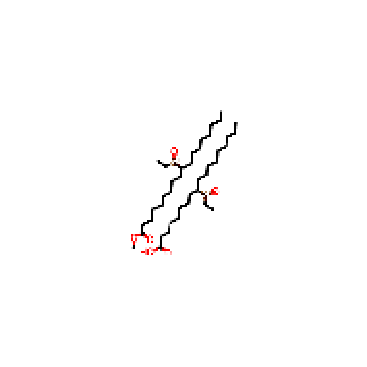 CCCCCCCCC(CCCCCCCCC(=O)OC)[S+]([O-])CC.CCCCCCCCCC(CCCCCCCC(=O)O)[S+]([O-])CC